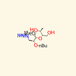 CCCCO[C@@H](CN=[N+]=[N-])[C@@H](OC)OC(CO)[C@H](C)O